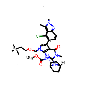 Cc1c2c(Cl)c(-c3cn(COCC[Si](C)(C)C)c4nc(N5C6CC[C@H]5C[C@H]6NC(=O)OC(C)(C)C)n(C)c(=O)c34)ccc2nn1C